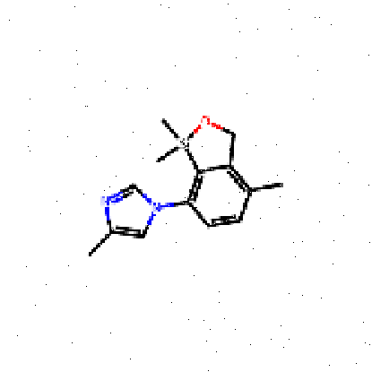 Cc1cn(-c2ccc(C)c3c2[Si](C)(C)OC3)cn1